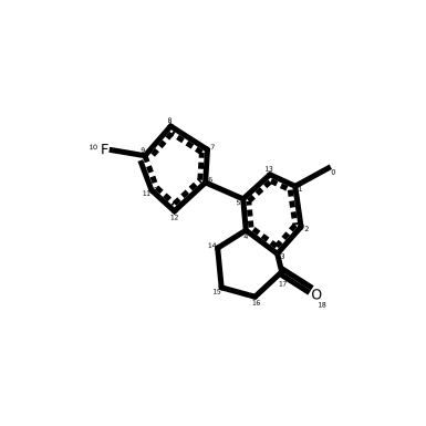 Cc1cc2c(c(-c3ccc(F)cc3)c1)CCCC2=O